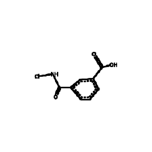 O=C(O)c1cccc(C(=O)NCl)c1